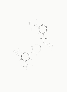 O=S(=O)(c1cccc(C(F)(F)F)c1)N(C1CC1)C1CCN(c2cc(C(F)(F)F)cc(C(F)(F)F)c2)CC1